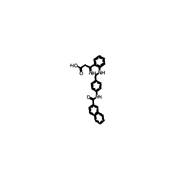 N=C(CC(=O)O)c1ccccc1NCc1ccc(NC(=O)c2ccc3ccccc3c2)cc1